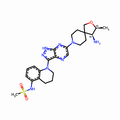 C[C@@H]1OCC2(CCN(c3cnc4c(N5CCCc6c(NS(C)(=O)=O)cccc65)n[nH]c4n3)CC2)[C@@H]1N